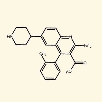 Cc1ccccc1-c1c(C(=O)O)c(N)nc2ccc(C3CCNCC3)cc12